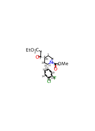 CCOC(=O)CC(=O)[C@@H]1CCN(C(=O)OC)[C@H](c2ccc(Cl)c(F)c2)C1